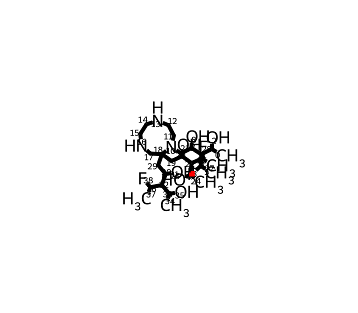 CC(O)C(C(C)F)C(O)CN1CCNCCNCC1(CC(O)C(C(C)O)C(C)F)CC(O)C(C(C)O)C(C)F